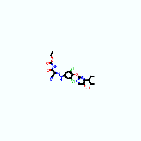 CCOC(=O)NC(=O)/C(C#N)=N/Nc1cc(Cl)c(Oc2ncc(O)c(C(CC)CC)n2)c(Cl)c1